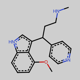 CNCCC(c1ccncc1)c1c[nH]c2cccc(OC)c12